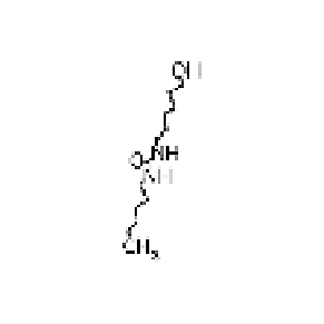 CCCCCCNC(=O)NCCCCCCO